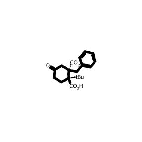 CC(C)(C)[C@@]1(C(=O)O)CCC(=O)C[C@]1(Cc1ccccc1)C(=O)O